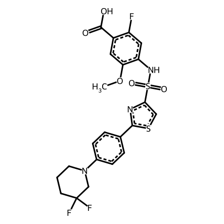 COc1cc(C(=O)O)c(F)cc1NS(=O)(=O)c1csc(-c2ccc(N3CCCC(F)(F)C3)cc2)n1